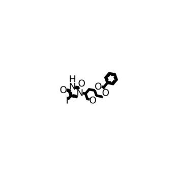 O=c1[nH]c(=O)n(C2COC3COC(c4ccccc4)OC3C2)cc1I